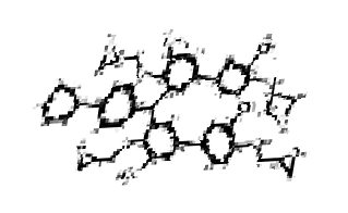 Cc1cc(-c2cc(C)c(OCC3CO3)c(C(c3ccc(-c4ccccc4)cc3)c3cc(-c4ccc(OC5COC5)c(C)c4)cc(C)c3OC[C@H]3CO3)c2)ccc1OCC1CO1